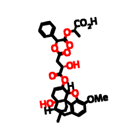 COc1ccc2c3c1O[C@H]1C(OC(=O)[C@@H](O)CC(=O)O[C@H](C(=O)O[C@@H](C)C(=O)O)c4ccccc4)=CC[C@@]4(O)[C@@H](C2)C(C)CC[C@]314